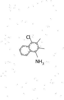 Cc1c(C)c(Cl)c2ccccc2c1C.N